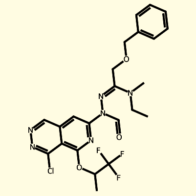 CCN(C)/C(COCc1ccccc1)=N\N(C=O)c1cc2cnnc(Cl)c2c(OC(C)C(F)(F)F)n1